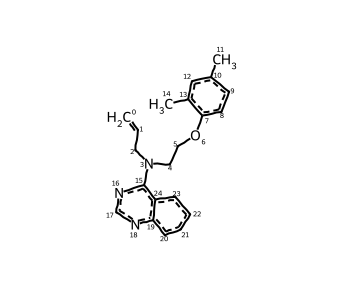 C=CCN(CCOc1ccc(C)cc1C)c1ncnc2ccccc12